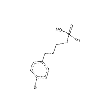 O=P(O)(O)CCCCc1ccc(Br)cc1